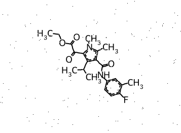 CCOC(=O)C(=O)c1c(C(C)C)c(C(=O)Nc2ccc(F)c(C)c2)c(C)n1C